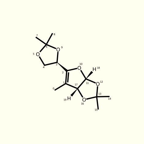 CC1=C([C@H]2COC(C)(C)O2)O[C@@H]2OC(C)(C)O[C@H]12